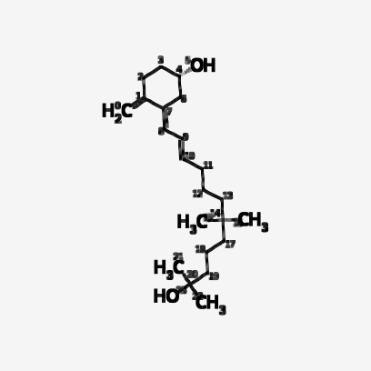 C=C1CC[C@H](O)CC1=CC=CCCCC(C)(C)CCCC(C)(C)O